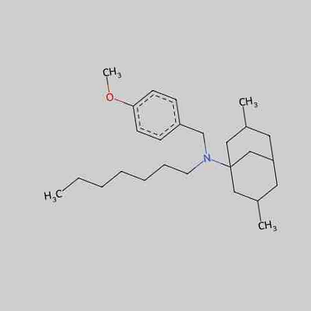 CCCCCCCN(Cc1ccc(OC)cc1)C12CC(C)CC(CC(C)C1)C2